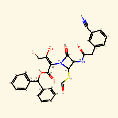 N#Cc1cccc(CC(=O)NC2C(=O)N(C(C(=O)OC(c3ccccc3)c3ccccc3)=C(O)CBr)C2SC=O)c1